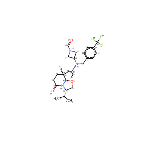 CC(C)[C@H]1CO[C@]23CC[C@H](N(Cc4ccc(C(F)(F)F)cc4)C4CN(C=O)C4)C[C@H]2CCC(=O)N13